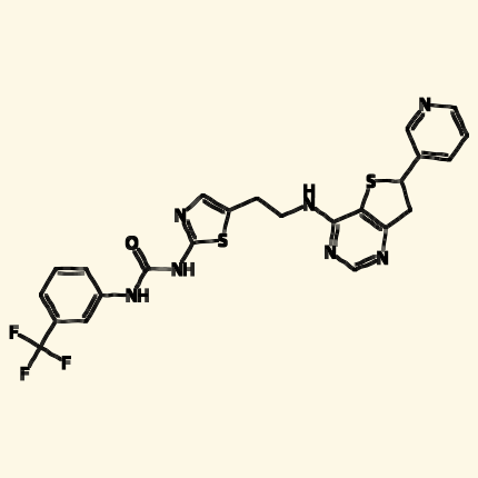 O=C(Nc1cccc(C(F)(F)F)c1)Nc1ncc(CCNc2ncnc3c2SC(c2cccnc2)C3)s1